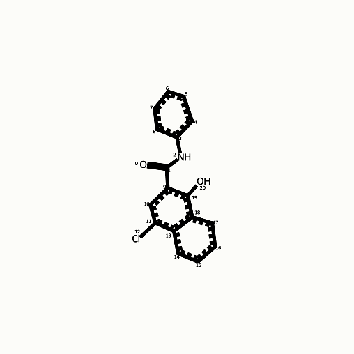 O=C(Nc1ccccc1)c1cc(Cl)c2ccccc2c1O